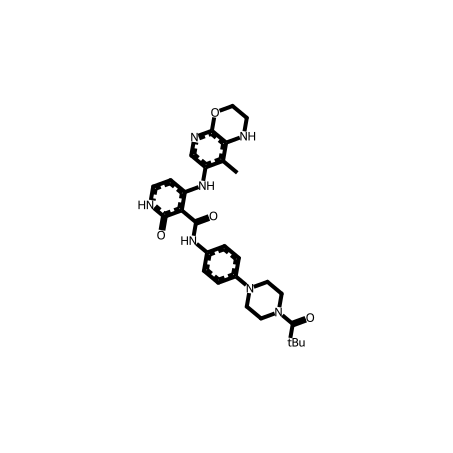 Cc1c(Nc2cc[nH]c(=O)c2C(=O)Nc2ccc(N3CCN(C(=O)C(C)(C)C)CC3)cc2)cnc2c1NCCO2